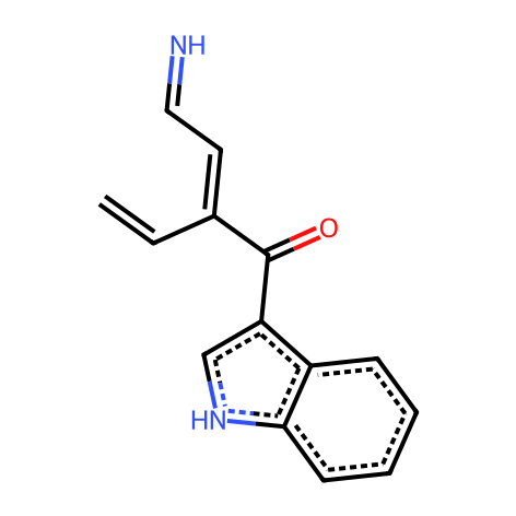 C=C/C(=C\C=N)C(=O)c1c[nH]c2ccccc12